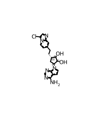 Nc1ncnc2c1ccn2[C@@H]1C[C@H](CCc2ccn3c(Cl)cnc3c2)[C@@H](O)[C@H]1O